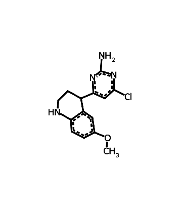 COc1ccc2c(c1)C(c1cc(Cl)nc(N)n1)CCN2